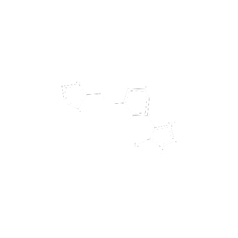 Nc1[nH]nnc1-c1cccc(OCc2cscn2)c1